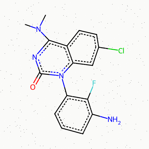 CN(C)c1nc(=O)n(-c2cccc(N)c2F)c2cc(Cl)ccc12